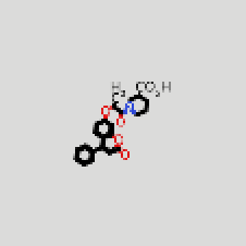 CC(Oc1ccc2c(-c3ccccc3)cc(=O)oc2c1)C(=O)N1CCC[C@@H](C(=O)O)C1